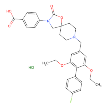 CCOc1cc(CN2CCC3(CC2)CN(c2ccc(C(=O)O)cc2)C(=O)O3)cc(OCC)c1-c1ccc(F)cc1.Cl